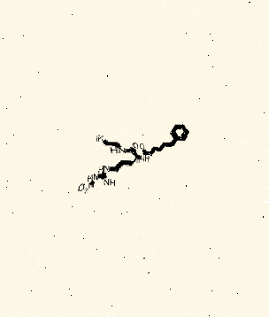 CC(C)C[CH]NC(=O)[C@H](CCCNC(=N)N[N+](=O)[O-])NC(=O)CCCCCc1ccccc1